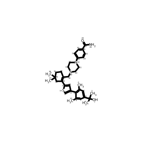 Cc1cc(C(C)(C)O)cc(C)c1-c1csc(C2=C(CN3CCN(c4ccc(C(N)=O)cc4)CC3)CCC(C)(C)C2)c1